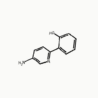 Nc1ccc(-c2ccccc2O)nc1